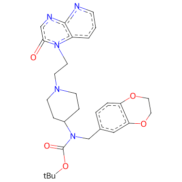 CC(C)(C)OC(=O)N(Cc1ccc2c(c1)OCCO2)C1CCN(CCn2c(=O)cnc3ncccc32)CC1